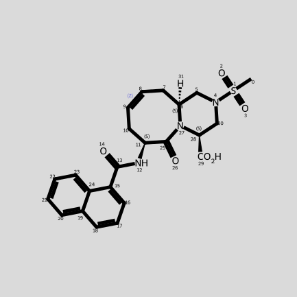 CS(=O)(=O)N1C[C@@H]2C/C=C\C[C@H](NC(=O)c3cccc4ccccc34)C(=O)N2[C@H](C(=O)O)C1